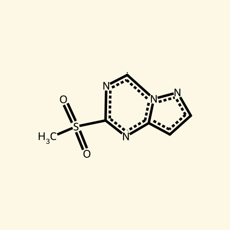 CS(=O)(=O)c1n[c]n2nccc2n1